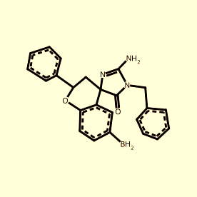 Bc1ccc2c(c1)C1(CC(c3ccccc3)O2)N=C(N)N(Cc2ccccc2)C1=O